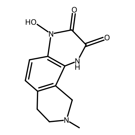 CN1CCc2ccc3c([nH]c(=O)c(=O)n3O)c2C1